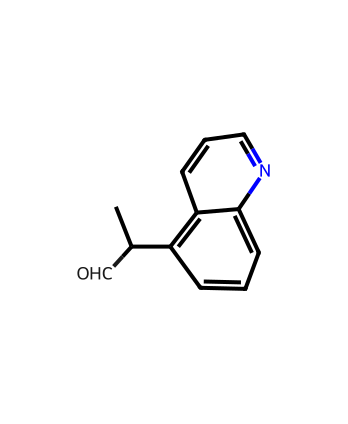 CC(C=O)c1cccc2ncccc12